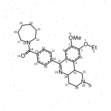 CCOc1cc2c(cc1OC)C(c1ccc(C(=O)N3CCCCCC3)cc1)=NC1CCN(C)CC21